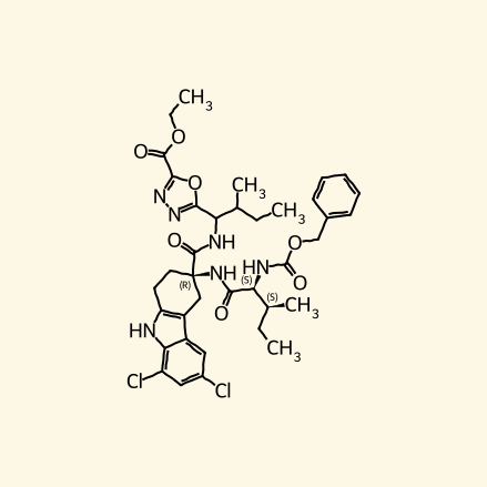 CCOC(=O)c1nnc(C(NC(=O)[C@@]2(NC(=O)[C@@H](NC(=O)OCc3ccccc3)[C@@H](C)CC)CCc3[nH]c4c(Cl)cc(Cl)cc4c3C2)C(C)CC)o1